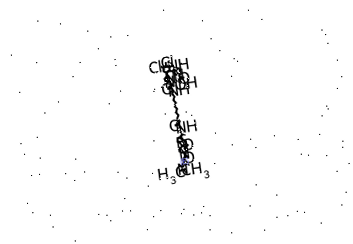 CN(C)C/C=C/C(=O)N1CCN(c2ccc(CCNC(=O)CCCCCCCCCCNC(=O)Cn3ccc(-c4cc(Cl)c(Cl)c5[nH]c6c(c45)CN(C(=O)CO)CC6)n3)s2)C(=O)C1